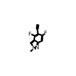 C#Cc1c(F)cc2nn(C)cc2c1F